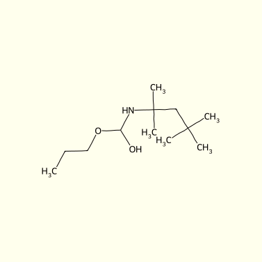 CCCOC(O)NC(C)(C)CC(C)(C)C